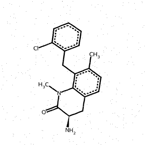 Cc1ccc2c(c1Cc1ccccc1Cl)N(C)C(=O)[C@H](N)C2